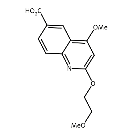 COCCOc1cc(OC)c2cc(C(=O)O)ccc2n1